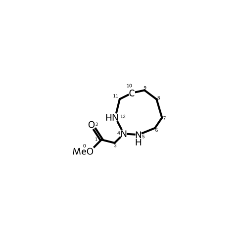 COC(=O)CN1NCCCCCCN1